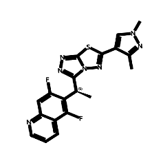 Cc1nn(C)cc1-c1nn2c([C@@H](C)c3c(F)cc4ncccc4c3F)nnc2s1